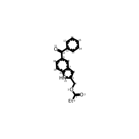 CCC(=O)OCc1cc2cc(C(=O)c3ccccc3)ccc2[nH]1